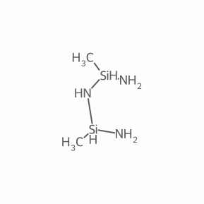 C[SiH](N)N[SiH](C)N